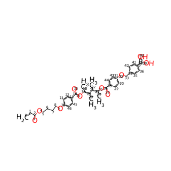 C=CC(=O)OCCCCOc1ccc(C(=O)O/C(C)=C(C)/C(C)=C(\C)OC(=O)c2ccc(OCc3ccc(B(O)O)cc3)cc2)cc1